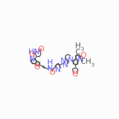 Cc1cc2c(N3CCCc4nc(-c5ccc(C(=O)NCC#Cc6cc7c(C8CCC(=O)NC8=O)nccc7o6)nc5)ncc43)cc(C3CCOCC3)cc2n(C)c1=O